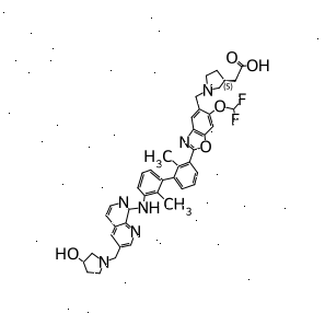 Cc1c(Nc2nccc3cc(CN4CCC(O)C4)cnc23)cccc1-c1cccc(-c2nc3cc(CN4CC[C@@H](CC(=O)O)C4)c(OC(F)F)cc3o2)c1C